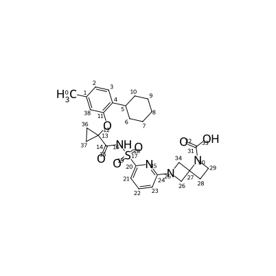 Cc1ccc(C2CCCCC2)c(OC2(C(=O)NS(=O)(=O)c3cccc(N4CC5(CCN5C(=O)O)C4)n3)CC2)c1